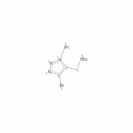 CC(C)n1nnc(Br)c1CC(C)(C)C